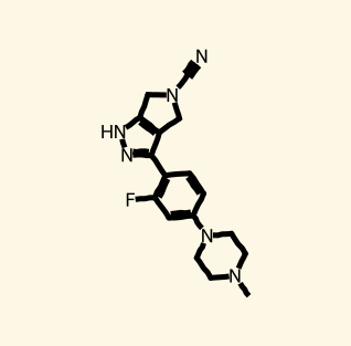 CN1CCN(c2ccc(-c3n[nH]c4c3CN(C#N)C4)c(F)c2)CC1